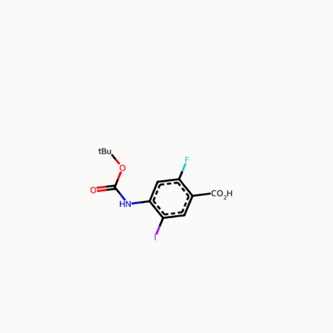 CC(C)(C)OC(=O)Nc1cc(F)c(C(=O)O)cc1I